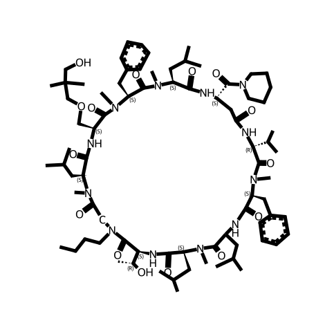 CCCCN1CC(=O)N(C)[C@@H](CC(C)C)C(=O)N[C@@H](COCC(C)(C)CO)C(=O)N(C)[C@@H](Cc2ccccc2)C(=O)N(C)[C@@H](CC(C)C)C(=O)N[C@H](C(=O)N2CCCCC2)CC(=O)N[C@H](C(C)C)C(=O)N(C)[C@@H](Cc2ccccc2)C(=O)NC(CC(C)C)C(=O)N(C)[C@@H](CC(C)C)C(=O)N[C@@H]([C@@H](C)O)C1=O